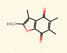 CCOC(=O)c1oc2c(c1C)C(=O)C(C)=C(C)C2=O